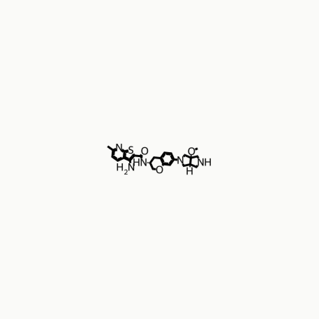 CO[C@@]12CNC[C@@H]1CN(c1ccc3c(c1)OC[C@H](NC(=O)c1sc4nc(C)ccc4c1N)C3)C2